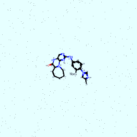 COc1cc(Nc2ncc3c(n2)N2CCCCCC2C(=O)N3)ccc1-n1cnc(C)c1